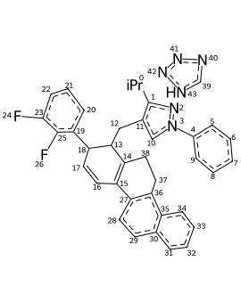 CC(C)c1nn(-c2ccccc2)cc1CC1C2=C(C=CC1c1cccc(F)c1F)c1ccc3ccccc3c1CC2.c1nnn[nH]1